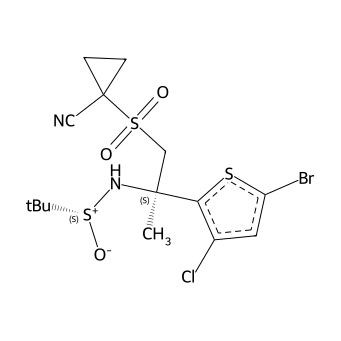 CC(C)(C)[S@@+]([O-])N[C@@](C)(CS(=O)(=O)C1(C#N)CC1)c1sc(Br)cc1Cl